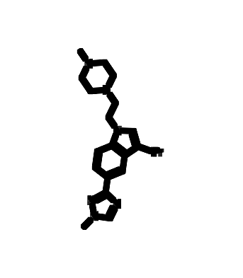 CC(C)c1cn(CCN2CCN(C)CC2)c2ccc(-c3ncn(C)n3)cc12